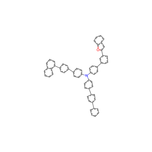 c1ccc(-c2ccc(-c3ccc(N(c4ccc(-c5ccc(-c6cccc7ccccc67)cc5)cc4)c4ccc(-c5cccc(-c6cc7ccccc7o6)c5)cc4)cc3)cc2)cc1